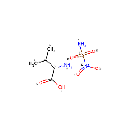 CC(C)[C@H](N)C(=O)O.NS(=O)(=O)[N+](=O)[O-]